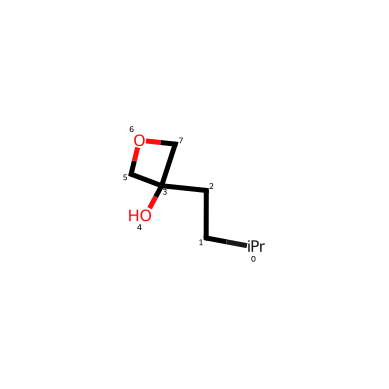 CC(C)CCC1(O)COC1